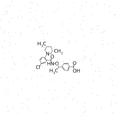 CC(ONC(=O)c1cc(Cl)ccc1N1C[C@H](C)C[C@H](C)C1)c1ccc(C(=O)O)cc1